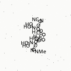 CNc1cncc(COc2cc(OCc3cccc(-c4cccc(COc5cc(OCc6cncc(C#N)c6)c(CNC(CO)CO)cc5Cl)c4C)c3C)c(Cl)cc2CNC(CO)CO)c1